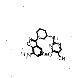 COc1nc(N[C@@H]2CCCN(c3noc4c(N)cccc34)C2)ncc1C#N